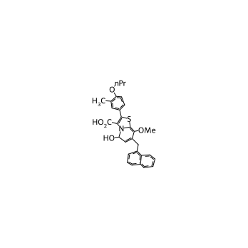 CCCOc1ccc(C2=C(C(=O)O)N3C(=C(OC)C(Cc4cccc5ccccc45)=CC3O)S2)cc1C